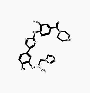 COc1cc(C(=O)N2CCNCC2)ccc1Nc1ncc(-c2ccc(C#N)c(O[Si@@H](C)Cn3cnnn3)c2)cn1